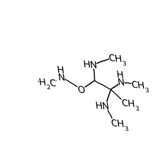 [CH2]NOC(NC)C(C)(NC)NC